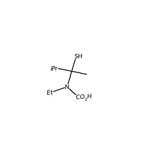 CCN(C(=O)O)C(C)(S)C(C)C